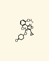 Cc1cccc(C)c1-c1noc(C2CC2)c1COC1CCC(=O)CC1